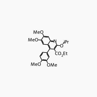 CCOC(=O)c1c(OC(C)C)nc2cc(OC)c(OC)cc2c1-c1ccc(OC)c(OC)c1